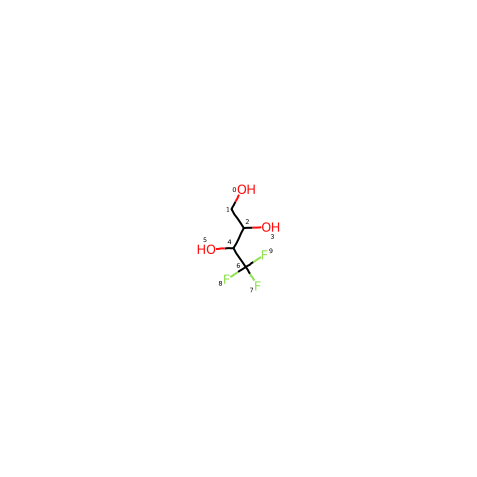 OCC(O)C(O)C(F)(F)F